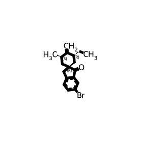 C=C1[C@H](CC)C[C@@]2(Cc3ccc(Br)cc3C2=O)C[C@@H]1C